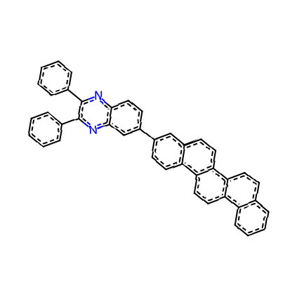 c1ccc(-c2nc3ccc(-c4ccc5c(ccc6c5ccc5c7ccccc7ccc56)c4)cc3nc2-c2ccccc2)cc1